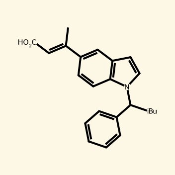 CCC(C)C(c1ccccc1)n1ccc2cc(C(C)=CC(=O)O)ccc21